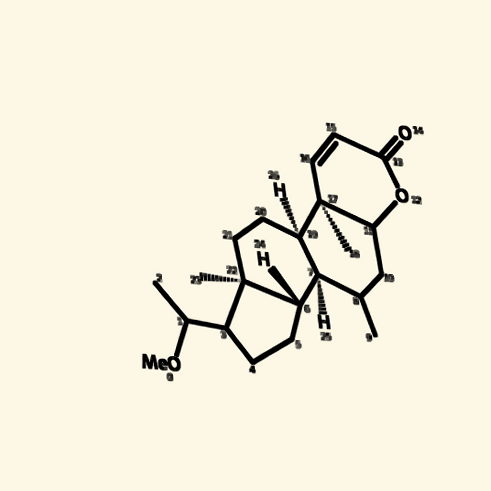 COC(C)C1CC[C@H]2[C@@H]3C(C)CC4OC(=O)C=C[C@]4(C)[C@@H]3CC[C@]12C